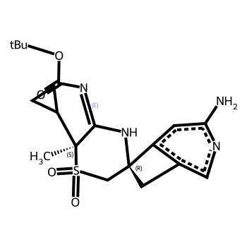 CC(C)(C)OC(=O)/N=C1/N[C@@]2(Cc3cnc(N)cc32)CS(=O)(=O)[C@@]1(C)C1CC1